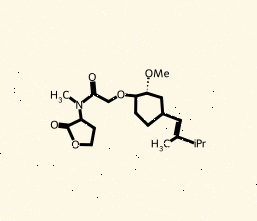 CO[C@@H]1CC(/C=C(\C)C(C)C)CCC1OCC(=O)N(C)C1CCOC1=O